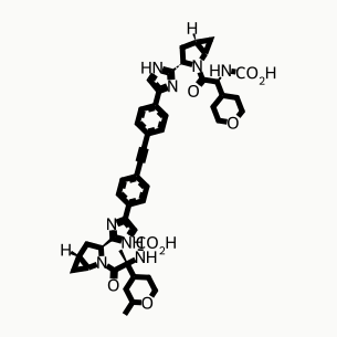 CC1CC([C@@](C)(NC(=O)O)C(=O)N2C3C[C@@H]3C[C@H]2c2nc(-c3ccc(C#Cc4ccc(-c5c[nH]c([C@@H]6C[C@H]7CC7N6C(=O)[C@H](NC(=O)O)C6CCOCC6)n5)cc4)cc3)c[nH]2)CCO1